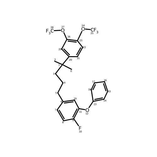 CC(C)(CCCc1ccc(F)c(Oc2ccccc2)c1)c1ccc(OC(F)(F)F)c(OC(F)(F)F)c1